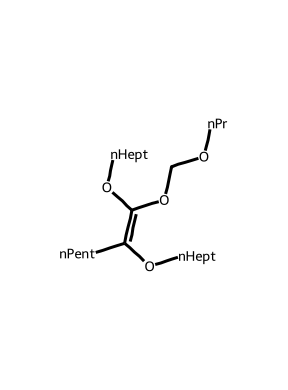 CCCCCCCOC(CCCCC)=C(OCCCCCCC)OCOCCC